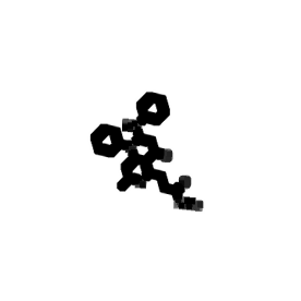 CNC(=O)CCc1nc(C)cc2c1c(=O)cc(Nc1ccccc1)n2-c1ccccc1